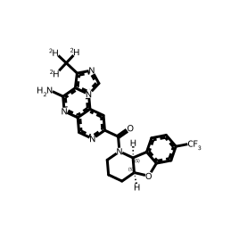 [2H]C([2H])([2H])c1ncn2c1c(N)nc1cnc(C(=O)N3CCC[C@@H]4Oc5cc(C(F)(F)F)ccc5[C@@H]43)cc12